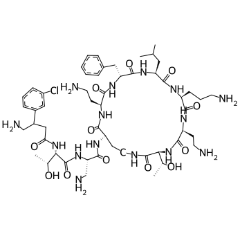 CC(C)C[C@@H]1NC(=O)[C@@H](Cc2ccccc2)NC(=O)[C@H](CCN)NC(=O)[C@@H](NC(=O)[C@H](CN)NC(=O)[C@@H](NC(=O)CC(CN)c2cccc(Cl)c2)[C@@H](C)O)CCNC(=O)[C@H]([C@@H](C)O)NC(=O)[C@H](CCN)NC(=O)[C@H](CCCN)NC1=O